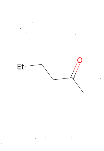 [CH2]C(=O)CCCC